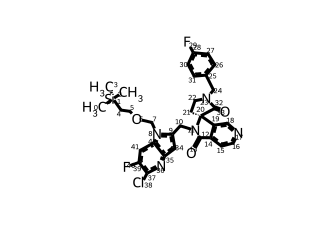 C[Si](C)(C)CCOCn1c(CN2C(=O)c3ccncc3[C@@]23CCN(Cc2ccc(F)cc2)C3=O)cc2nc(Cl)c(F)cc21